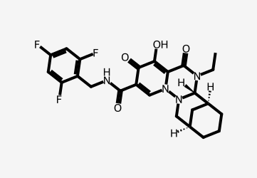 CCN1C(=O)c2c(O)c(=O)c(C(=O)NCc3c(F)cc(F)cc3F)cn2N2C[C@@H]3CCC[C@@H](C3)[C@@H]12